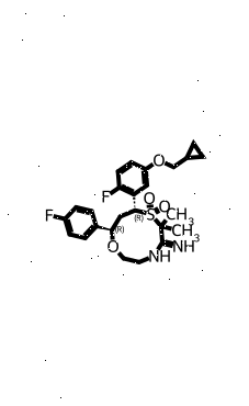 CC1(C)C(=N)NCCO[C@@H](c2ccc(F)cc2)C[C@H](c2cc(OCC3CC3)ccc2F)S1(=O)=O